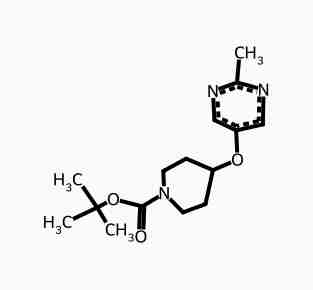 Cc1ncc(OC2CCN(C(=O)OC(C)(C)C)CC2)cn1